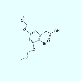 COCOc1cc(CC(=O)O)c(Br)c(OCOC)c1